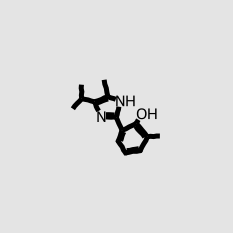 Cc1cccc(-c2nc(C(C)C)c(C)[nH]2)c1O